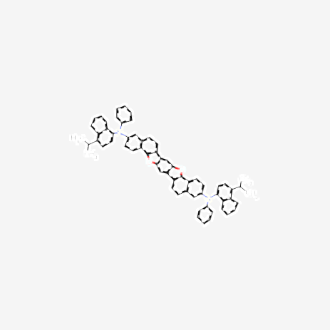 CC(C)c1ccc(N(c2ccccc2)c2ccc3c(ccc4c5cc6oc7c8ccc(N(c9ccccc9)c9ccc(C(C)C)c%10ccccc9%10)cc8ccc7c6cc5oc34)c2)c2ccccc12